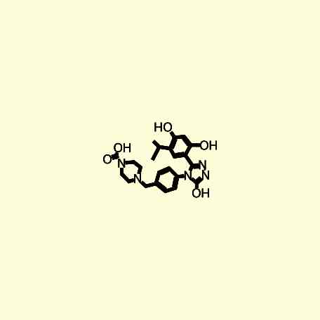 CC(C)c1cc(-c2nnc(O)n2-c2ccc(CN3CCN(C(=O)O)CC3)cc2)c(O)cc1O